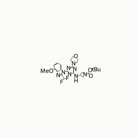 COc1cccc2c1nc(C(F)F)n2-c1nc(NC2CN(C(=O)OC(C)(C)C)C2)nc(N2CCOCC2)n1